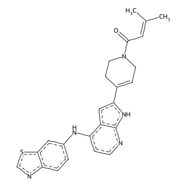 CC(C)=CC(=O)N1CC=C(c2cc3c(Nc4ccc5ncsc5c4)ccnc3[nH]2)CC1